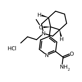 CCCN1C[C@H]2CCC[C@@H](C1)[C@@]2(OC)c1ccnc(C(N)=O)c1.Cl